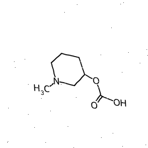 CN1CCCC(OC(=O)O)C1